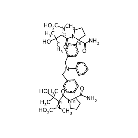 CN(C(=O)O)[C@H](C(=O)N1CCC[C@@]1(C(N)=O)c1ccc(CN(Cc2ccc([C@]3(C(N)=O)CCCN3C(=O)[C@@H](N(C)C(=O)O)C(C)(C)O)cc2)c2ccccc2)cc1)C(C)(C)O